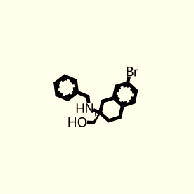 OC[C@]1(NCc2ccccc2)CCc2ccc(Br)cc2C1